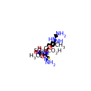 Cc1cc2c(cc1C(=N)N[C@H]1C[C@@H](N)C1)CC[C@H]([C@](C)(O/N=C(\C(=O)N[C@@H]1C(=O)N(OS(=O)(=O)O)C1(C)C)c1csc(N)n1)C(=O)O)O2